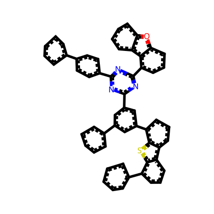 c1ccc(-c2ccc(-c3nc(-c4cc(-c5ccccc5)cc(-c5cccc6c5sc5c(-c7ccccc7)cccc56)c4)nc(-c4cccc5oc6ccccc6c45)n3)cc2)cc1